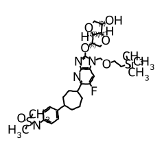 C[Si](C)(C)CCOCn1c(O[C@@H]2CO[C@H]3[C@@H]2OC[C@H]3O)nc2nc(C3CCCC(c4ccc(N=S(C)(C)=O)cc4)CC3)c(F)cc21